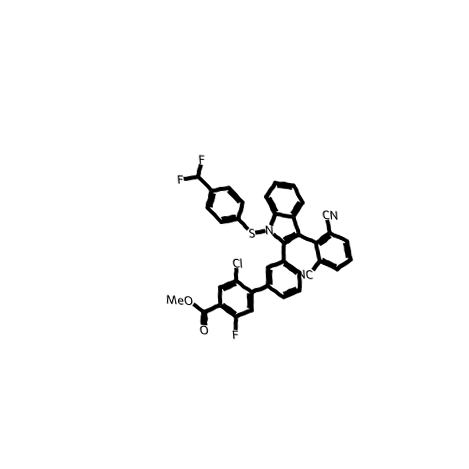 COC(=O)c1cc(Cl)c(-c2cccc(-c3c(-c4c(C#N)cccc4C#N)c4ccccc4n3Sc3ccc(C(F)F)cc3)c2)cc1F